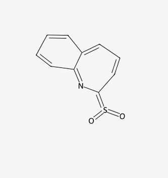 O=S(=O)=c1cccc2ccccc2n1